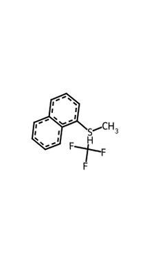 C[SH](c1cccc2ccccc12)C(F)(F)F